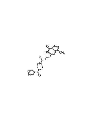 Cc1ncc2c(=O)[nH]c(CCCC(=O)N3CCC(C(=O)c4cnoc4)CC3)cn12